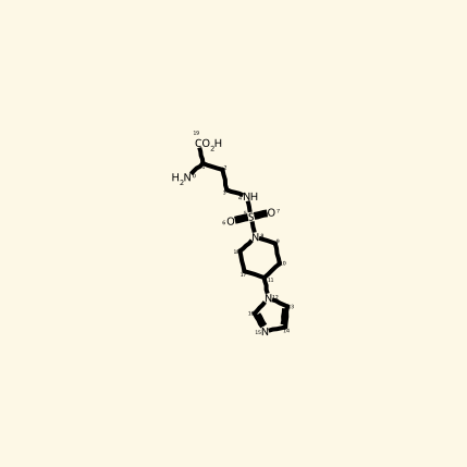 NC(CCNS(=O)(=O)N1CCC(n2ccnc2)CC1)C(=O)O